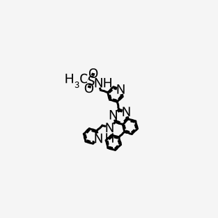 CS(=O)(=O)NCc1cncc(-c2nc(NCc3ccccn3)c3c(-c4ccccc4)cccc3n2)c1